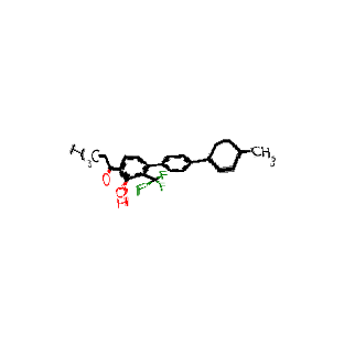 CCC(=O)c1ccc(-c2ccc(C3CCC(C)CC3)cc2)c(C(F)(F)F)c1O